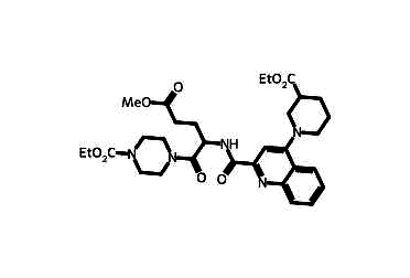 CCOC(=O)C1CCCN(c2cc(C(=O)NC(CCC(=O)OC)C(=O)N3CCN(C(=O)OCC)CC3)nc3ccccc23)C1